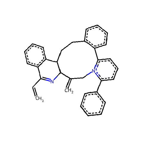 C=CC1=NC2C(=C)C[n+]3c(-c4ccccc4)cccc3-c3ccccc3CCC2c2ccccc21